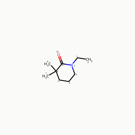 CCN1CCCC(C)(C)C1=O